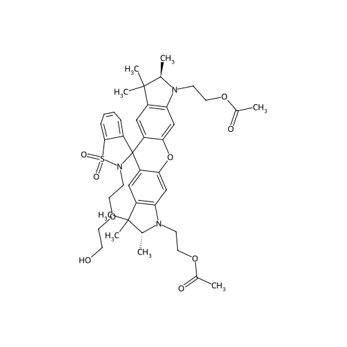 CC(=O)OCCN1c2cc3c(cc2C(C)(C)[C@H]1C)C1(c2cc4c(cc2O3)N(CCOC(C)=O)[C@H](C)C4(C)C)c2ccccc2S(=O)(=O)N1CCOCCO